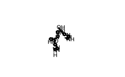 Cc1c[nH]c2ncnc(-c3ccc(NC(=O)N(CCO)c4cccc(C5CCN(CCN(C(=O)Nc6ccc(-c7ncnc8[nH]cc(C)c78)cc6)c6ccccc6)C5)c4)cc3)c12